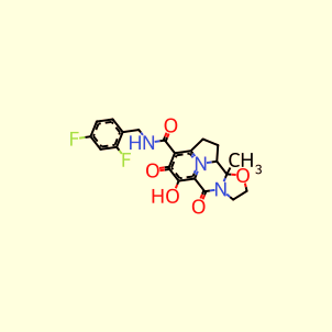 CC12OCCN1C(=O)c1c(O)c(=O)c(C(=O)NCc3ccc(F)cc3F)c3n1C2CC3